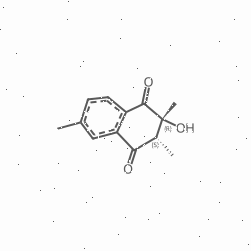 Cc1ccc2c(c1)C(=O)[C@@H](C)[C@@](C)(O)C2=O